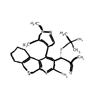 CC(=O)[C@@H](OC(C)(C)C)c1c(C)nc2sc3c(c2c1-c1cnn(C)c1C)CCCC3